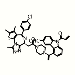 C=CC(=O)n1c2ccc(C=O)cc2c2c(C(=C)N3CCN(C(=O)C[C@@H]4N=C(c5ccc(Cl)cc5)c5c(sc(C)c5C)-n5c(C)nnc54)CC3)cccc21